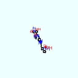 CC(C)(C)[Si](C)(C)O[C@H](CNCc1ccc2nn(CC/C=C/c3ccc(-c4ccccc4)c(NC(=O)O)c3)nc2c1)c1ccc(O)c2[nH]c(=O)ccc12